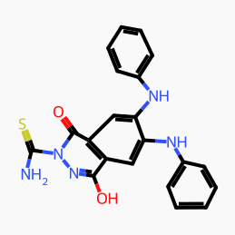 NC(=S)n1nc(O)c2cc(Nc3ccccc3)c(Nc3ccccc3)cc2c1=O